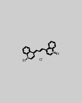 CCN1C=CC(=CC=Cc2cc[n+](CC)c3ccccc23)c2ccccc21.[Cl-]